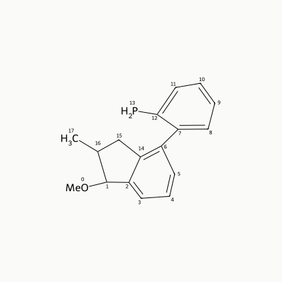 COC1c2cccc(-c3ccccc3P)c2CC1C